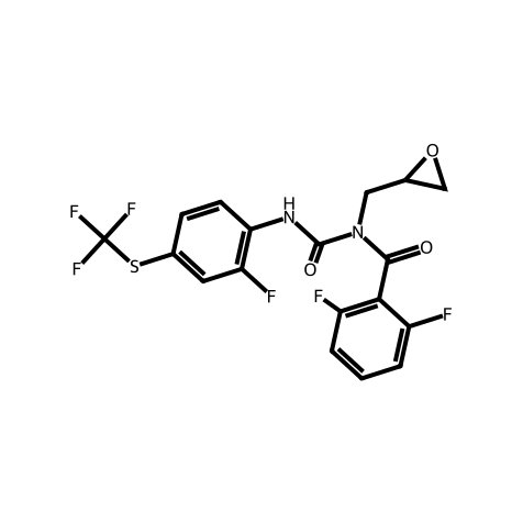 O=C(Nc1ccc(SC(F)(F)F)cc1F)N(CC1CO1)C(=O)c1c(F)cccc1F